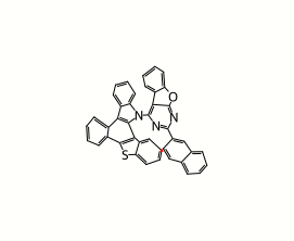 c1ccc2cc(-c3nc(-n4c5ccccc5c5c6ccccc6c6sc7ccccc7c6c54)c4c(n3)oc3ccccc34)ccc2c1